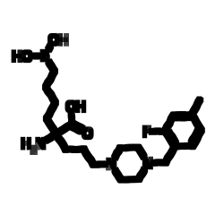 Cc1ccc(CN2CCN(CCCC(N)(CCCCB(O)O)C(=O)O)CC2)c(F)c1